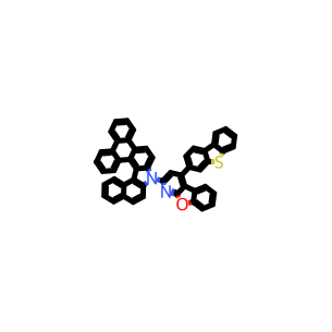 c1ccc2c(c1)ccc1c2c2c3c4ccccc4c4ccccc4c3ccc2n1-c1cc(-c2ccc3c(c2)sc2ccccc23)c2c(n1)oc1ccccc12